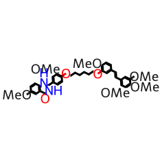 COc1ccc2c(c1)C(=O)NC(c1ccc(OCCCCCCOc3cc(C=Cc4cc(OC)c(OC)c(OC)c4)ccc3OC)c(OC)c1)N2